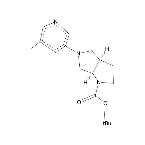 Cc1cncc(N2C[C@H]3CCN(C(=O)OC(C)(C)C)[C@H]3C2)c1